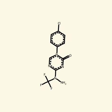 NN(c1ncn(-c2ccc(Cl)cc2)c(=O)n1)C(F)(F)F